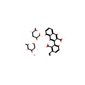 C=Cc1ccc2oc(=O)c3c(O)c4cccc(O[C@@H]5OC(C)[C@H](O)[C@H](O)C5O[C@H]5OC(C)[C@H](O)C(OC)[C@H]5O)c4c4oc(=O)c1c2c34